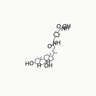 C[C@H](CCC(=O)NCc1ccc(C(=O)NO)cc1)C1CCC2[C@H]3C(CC[C@@]21C)[C@@]1(C)CC[C@@H](O)C[C@H]1C[C@@H]3O